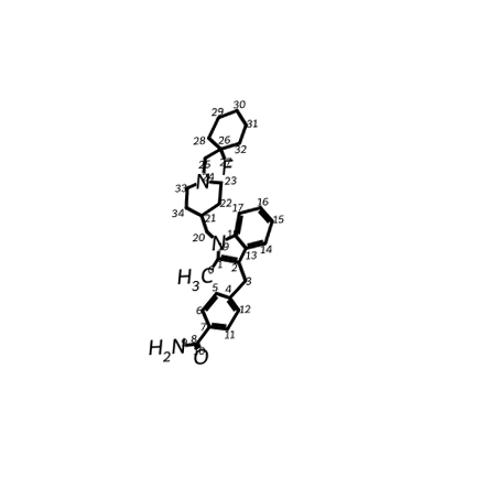 Cc1c(Cc2ccc(C(N)=O)cc2)c2ccccc2n1CC1CCN(CC2(F)CCCCC2)CC1